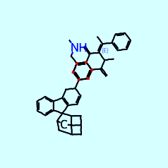 C=C(/C(=C(\C)c1ccccc1)C(C)C(=C)c1cc(CNC)cc(C2C=CC3=C(C2)c2ccccc2C32C3CC4CC5CC2C45C3)c1)c1ccccc1